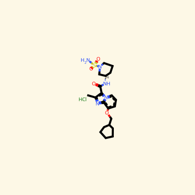 Cc1nc2c(OCC3CCCCC3)cccn2c1C(=O)N[C@H]1CCCN(S(N)(=O)=O)C1.Cl